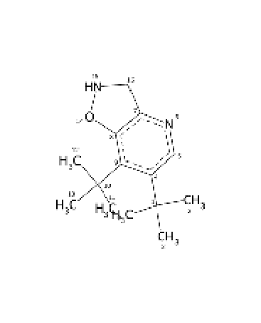 CC(C)(C)c1cnc2c(c1C(C)(C)C)ONC2